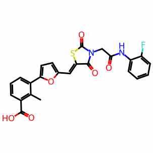 Cc1c(C(=O)O)cccc1-c1ccc(/C=C2\SC(=O)N(CC(=O)Nc3ccccc3F)C2=O)o1